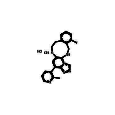 Cc1ncccc1-c1cc2c(n3cnnc13)NCc1c(F)cccc1CCO2.Cl.Cl